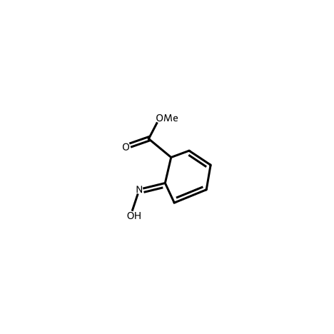 COC(=O)C1C=CC=CC1=NO